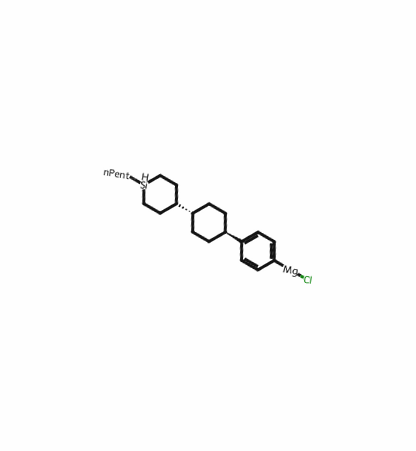 CCCCC[SiH]1CCC([C@H]2CC[C@H](c3cc[c]([Mg][Cl])cc3)CC2)CC1